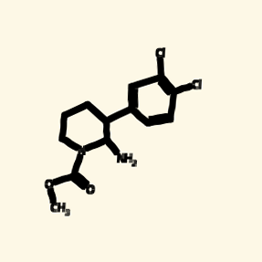 COC(=O)N1CCCC(c2ccc(Cl)c(Cl)c2)C1N